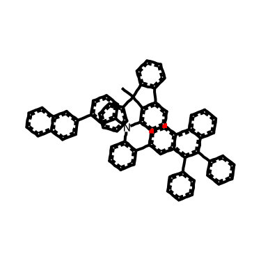 CC1(c2ccccc2)c2ccccc2-c2cccc(N(c3cccc(-c4ccc5ccccc5c4)c3)c3ccccc3-c3ccc4c(c3)c(-c3ccccc3)c(-c3ccccc3)c3ccccc34)c21